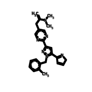 C=C(Cc1cnc(-c2cc(C3=NCC=C3)n(Cc3ccccc3C)n2)nc1)N(C)C